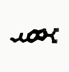 COC(=O)Cc1ccc2oc(B(O)O)cc2c1